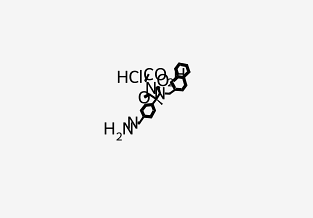 C[C@@]1(c2ccc(C=NN)cc2)C(=O)N(CC(=O)O)C(=O)N1Cc1ccc2ccccc2c1.Cl